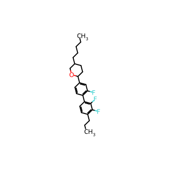 CCCCCC1CCC(c2ccc(-c3ccc(CCC)c(F)c3F)c(F)c2)OC1